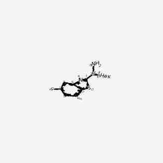 CCCCCCN(N)c1nc2cc(F)ccc2s1